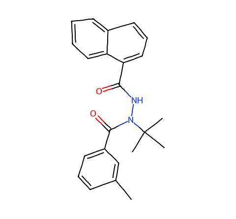 Cc1cccc(C(=O)N(NC(=O)c2cccc3ccccc23)C(C)(C)C)c1